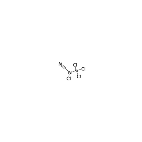 N#CN(Cl)[Si](Cl)(Cl)Cl